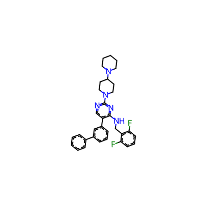 Fc1cccc(F)c1CNc1nc(N2CCC(N3CCCCC3)CC2)ncc1-c1cccc(-c2ccccc2)c1